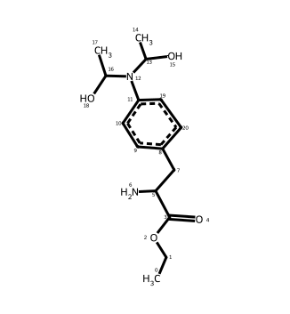 CCOC(=O)C(N)Cc1ccc(N(C(C)O)C(C)O)cc1